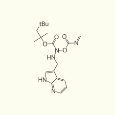 C=NC(=O)ON(NCc1c[nH]c2ncccc12)C(=O)OC(C)(C)CC(C)(C)C